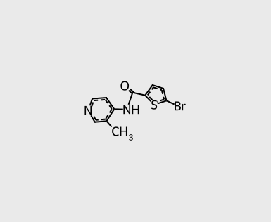 Cc1cnccc1NC(=O)c1ccc(Br)s1